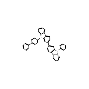 C1=CC2c3ccc(-c4ccc5c6ccccc6n(-c6ccc(-c7ccccc7)cc6)c5c4)cc3N(c3ccccc3)C2C=C1